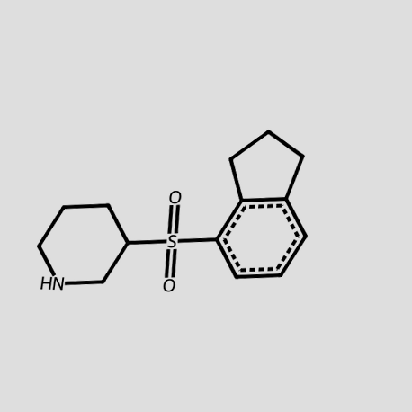 O=S(=O)(c1cccc2c1CCC2)C1CCCNC1